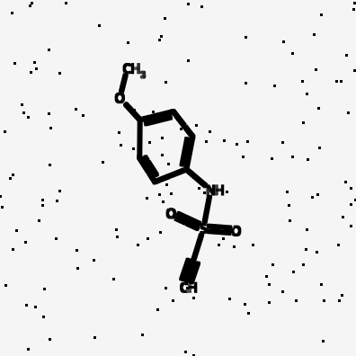 C#CS(=O)(=O)Nc1ccc(OC)cc1